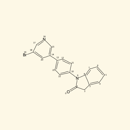 O=C1Cc2ccccc2N1c1ccc(-c2cncc(Br)c2)cc1